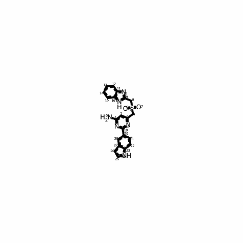 Nc1cc(CS(=O)(=O)Cc2nc3ccccc3[nH]2)nc(-c2ccc3[nH]ccc3c2)n1